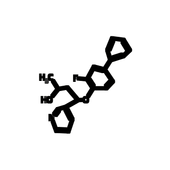 CC(O)CC(Oc1ccc(-c2ccccc2)cc1F)c1cccnc1